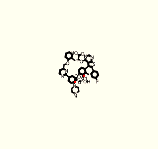 Cc1c(-c2c(-c3ccc(F)cc3)sc3ncnc(O[C@H](Cc4ccccc4OCc4ccnc(-c5cccc(OS(=O)(=O)O)c5)n4)C(=O)O)c23)ccc(OCCN2CCN(C)CC2)c1Cl